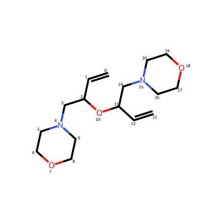 C=CC(CN1CCOCC1)OC(C=C)CN1CCOCC1